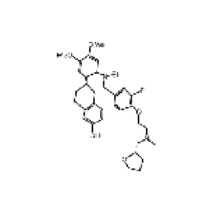 CCN(Cc1ccc(OCCN(C)C[C@@H]2CCCO2)c(F)c1)C1C=C(OC)C(OC)=CC1[C@@H]1CCc2cc(O)ccc2C1